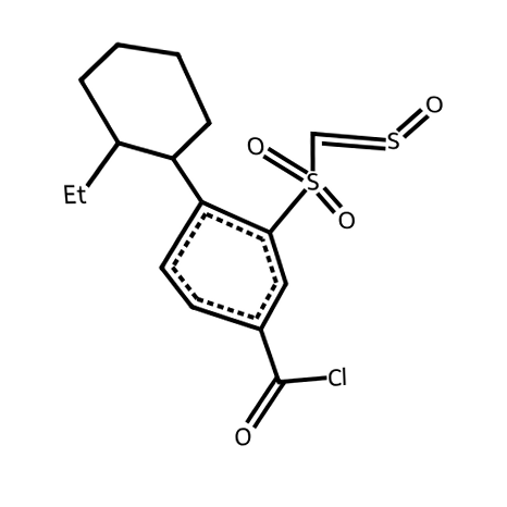 CCC1CCCCC1c1ccc(C(=O)Cl)cc1S(=O)(=O)C=S=O